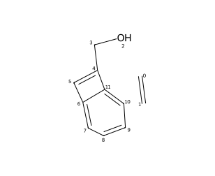 C=C.OCC1=Cc2ccccc21